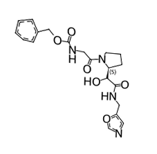 O=C(NCC(=O)N1CCC[C@H]1C(O)C(=O)NCc1cnco1)OCc1ccccc1